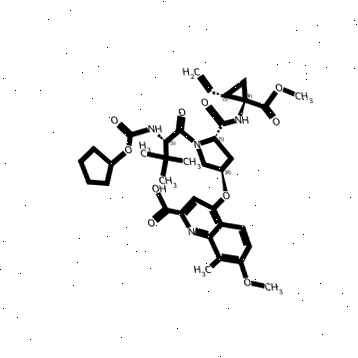 C=C[C@@H]1C[C@]1(NC(=O)[C@@H]1C[C@@H](Oc2cc(C(=O)O)nc3c(C)c(OC)ccc23)CN1C(=O)[C@@H](NC(=O)OC1CCCC1)C(C)(C)C)C(=O)OC